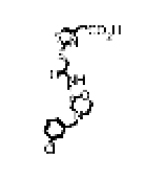 O=C(O)Cc1csc(SCC(=O)NC[C@H]2CN(Cc3cccc(Cl)c3)CCO2)n1